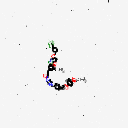 CCOc1ccc(OCCc2ccc(CN3CCN(C(=O)C=Cc4cc(C)c(Oc5ccc(OCc6ccc(C(F)(F)F)cc6)cn5)c(Cl)c4)CC3)cc2)cc1